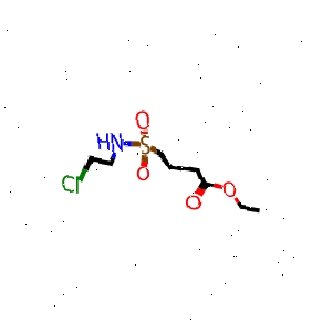 CCOC(=O)CCCS(=O)(=O)NCCCl